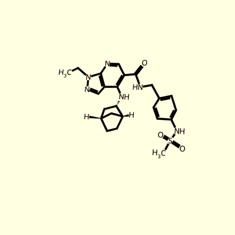 CCn1ncc2c(N[C@H]3C[C@H]4CC[C@@H]3C4)c(C(=O)NCc3ccc(NS(C)(=O)=O)cc3)cnc21